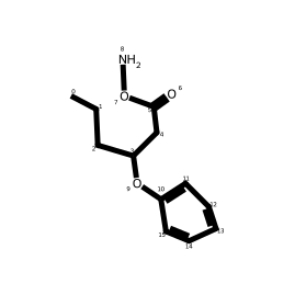 CCCC(CC(=O)ON)Oc1ccccc1